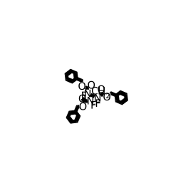 [CH2]C(N(F)C(=O)OCc1ccccc1)(N(F)C(=O)OCc1ccccc1)N(F)C(=O)OCc1ccccc1